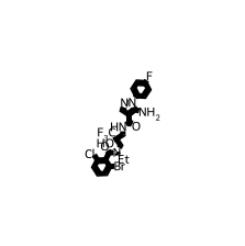 CCN(CC(O)(CNC(=O)c1cnn(-c2ccc(F)cc2)c1N)C(F)(F)F)C(=O)c1c(Cl)cccc1Br